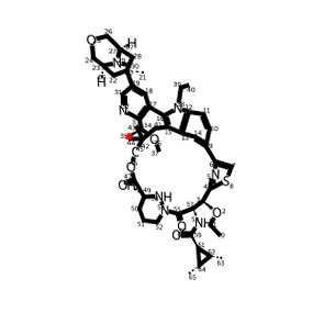 CCO[C@@H]1c2nc(cs2)-c2ccc3c(c2)c(c(-c2cc([C@@]4(C)C[C@H]5COC[C@@H](C4)N5C)cnc2[C@H](C)OC)n3CC)CC(C)(C)COC(=O)[C@@H]2CCCN(N2)C(=O)[C@H]1NC(=O)[C@H]1[C@H](C)[C@@H]1C